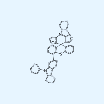 c1ccc(-n2c3ccccc3c3ccc(-c4cccc5c4Sc4ccccc4C54c5ccccc5-n5c6ccccc6c6cccc4c65)cc32)cc1